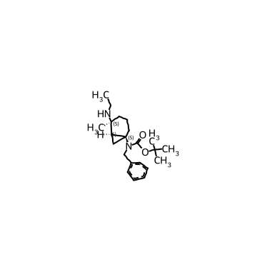 CCN[C@@]1(C)CCC[C@]2(N(Cc3ccccc3)C(=O)OC(C)(C)C)C[C@H]21